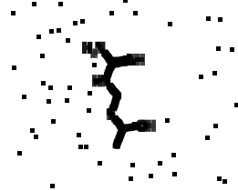 CC(O)SCNC(=N)N